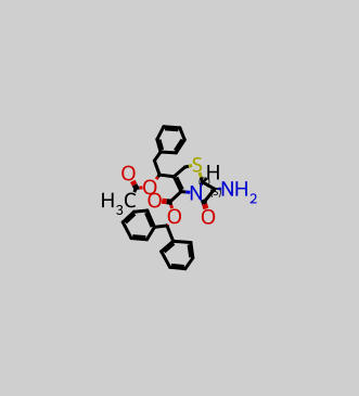 CC(=O)OC(Cc1ccccc1)C1=C(C(=O)OC(c2ccccc2)c2ccccc2)N2C(=O)[C@H](N)[C@H]2SC1